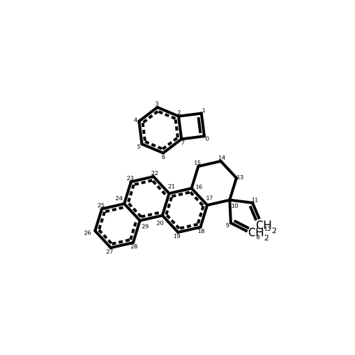 C1=Cc2ccccc21.C=CC1(C=C)CCCc2c1ccc1c2ccc2ccccc21